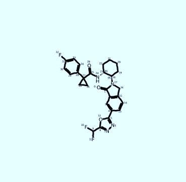 O=C1c2cc(-c3nnc(C(F)F)o3)ccc2CN1[C@@H]1CCCC[C@H]1NC(=O)C1(c2ccc(F)cc2)CC1